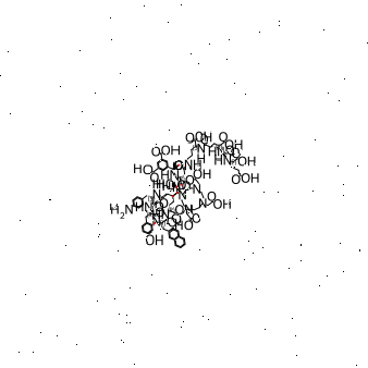 CN(C(=O)[C@@H](Cc1ccc(O)cc1)NC(=O)[C@H](Cc1ccc(N)cc1)NC(=O)CCC(C(=O)O)N1CCN(CC(=O)O)CCN(CC(=O)O)CCN(CC(=O)O)CC1)[C@H](Cc1ccc2ccccc2c1)C(=O)N[C@H](CCCCNC(=O)[C@@H](CC(=O)NCCC[C@H](NC(=O)CC[C@H](NC(=O)N[C@@H](CCC(=O)O)C(=O)O)C(=O)O)C(=O)O)NC(=O)c1cc(C(=O)O)cc(C(=O)O)c1)C(=O)O